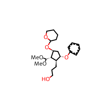 COC(OC)[C@H]1[C@H](CCCO)[C@@H](Oc2ccccc2)C[C@@H]1OC1CCCCO1